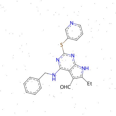 CCc1[nH]c2nc(Sc3cccnc3)nc(NCc3ccccc3)c2c1C=O